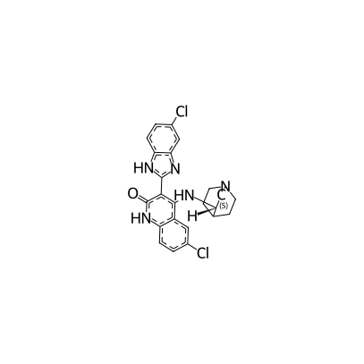 O=c1[nH]c2ccc(Cl)cc2c(N[C@@H]2CN3CCC2CC3)c1-c1nc2cc(Cl)ccc2[nH]1